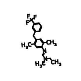 CCN(C)C=Nc1cc(C)c(Cc2cccc(C(F)(F)F)c2)cc1C